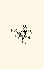 CC[SiH]1OC(C)(C)C[Si](C)(C)[SiH2]1